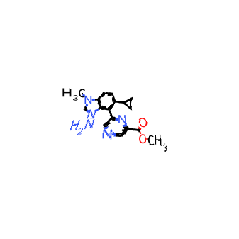 COC(=O)c1cncc(-c2c(C3CC3)ccc3c2N(N)CN3C)n1